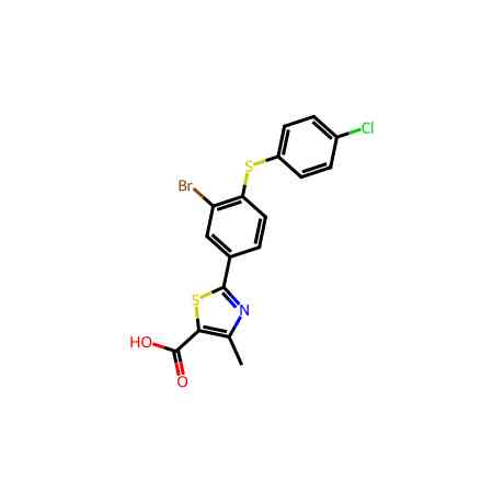 Cc1nc(-c2ccc(Sc3ccc(Cl)cc3)c(Br)c2)sc1C(=O)O